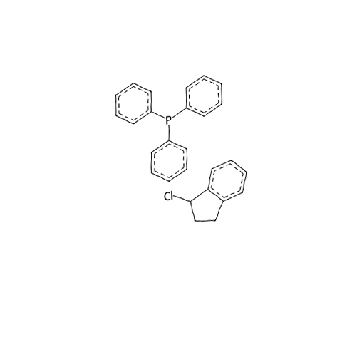 ClC1CCc2ccccc21.c1ccc(P(c2ccccc2)c2ccccc2)cc1